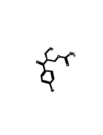 CC(C)C[C@@H](COC(N)=O)C(=O)c1ccc(Br)cc1